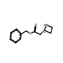 O=C([CH][C@@H]1CCN1)OCc1ccccc1